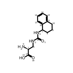 N[C@@H](CNC(=O)NC1CCCc2ccccc21)C(=O)O